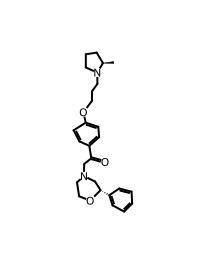 C[C@@H]1CCCN1CCCOc1ccc(C(=O)CN2CCO[C@@H](c3ccccc3)C2)cc1